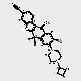 C#Cc1ccc2c3c([nH]c2c1)C(C)(C)c1cc(N2CCN(C4CCC4)CC2)c(Br)cc1C3=O